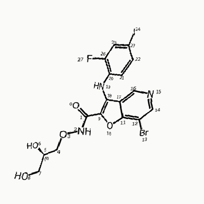 O=C(NOC[C@H](O)CO)c1oc2c(Br)cncc2c1Nc1ccc(I)cc1F